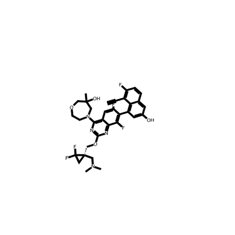 C#Cc1c(F)ccc2cc(O)cc(-c3c(F)cc4c(N5CCOCC(C)(O)C5)nc(OC[C@]5(CN(C)C)CC5(F)F)nc4c3F)c12